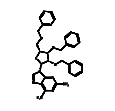 Nc1nc(N)c2ncn([C@@H]3S[C@@H](COCc4ccccc4)[C@@H](OCc4ccccc4)[C@@H]3OCc3ccccc3)c2n1